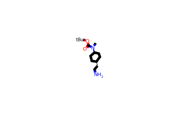 CN(C(=O)OC(C)(C)C)[C@H]1CC[C@H](CCN)CC1